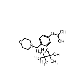 CC(C)(O)C(C)(C)O.OB(O)Oc1ccc(CN2CCOCC2)cc1